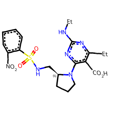 CCNc1nc(CC)c(C(=O)O)c(N2CCC[C@H]2CNS(=O)(=O)c2ccccc2[N+](=O)[O-])n1